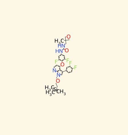 CC1(CNC(=O)Nc2cc(F)c(Oc3ccnc4c3c(-c3ccc(F)c(F)c3)cn4COCC[Si](C)(C)C)c(F)c2)COC1